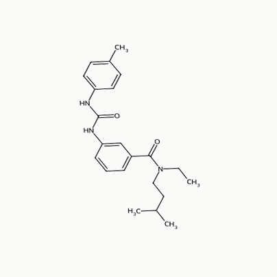 CCN(CCC(C)C)C(=O)c1cccc(NC(=O)Nc2ccc(C)cc2)c1